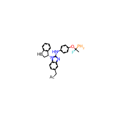 CC(=O)Cc1ccc2c(c1)nc(Nc1ccc(OC(C)(F)P)cc1)n2[C@@H]1CBc2ccccc21